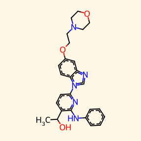 CC(O)c1ccc(-n2cnc3cc(OCCN4CCOCC4)ccc32)nc1Nc1ccccc1